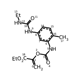 C=C(OC(=O)Nc1cc(NC(=O)NCC)ccc1C)C(=O)OCC